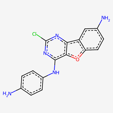 Nc1ccc(Nc2nc(Cl)nc3c2oc2ccc(N)cc23)cc1